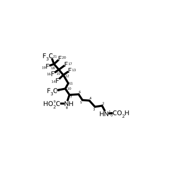 O=C(O)NCCCCCC(NC(=O)O)C(CC(F)(F)C(F)(F)C(F)(F)C(F)(F)F)C(F)(F)F